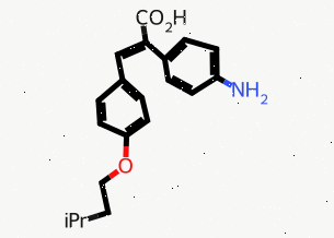 CC(C)CCOc1ccc(C=C(C(=O)O)c2ccc(N)cc2)cc1